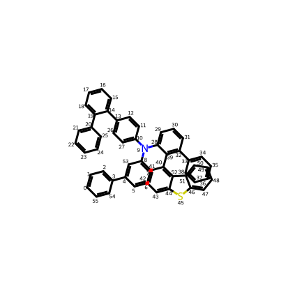 c1ccc(-c2cccc(N(c3ccc(-c4ccccc4-c4ccccc4)cc3)c3cccc(-c4ccccc4)c3-c3cccc4sc5ccccc5c34)c2)cc1